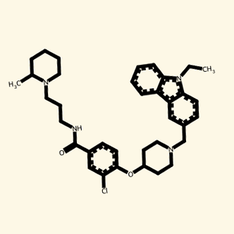 CCn1c2ccccc2c2cc(CN3CCC(Oc4ccc(C(=O)NCCCN5CCCCC5C)cc4Cl)CC3)ccc21